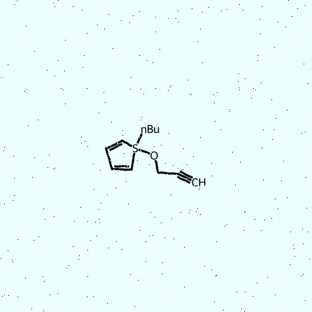 C#CCOS1(CCCC)C=CC=C1